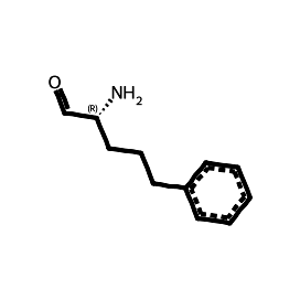 N[C@@H](C=O)CCCc1ccccc1